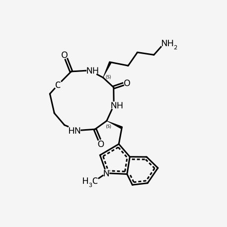 Cn1cc(C[C@@H]2NC(=O)[C@H](CCCCN)NC(=O)CCCCNC2=O)c2ccccc21